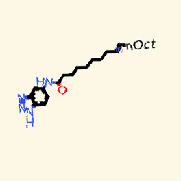 CCCCCCCC/C=C/CCCCCCCC(=O)Nc1ccc2[nH]nnc2c1